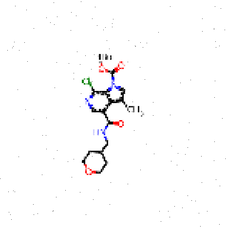 Cc1cn(C(=O)OC(C)(C)C)c2c(Cl)ncc(C(=O)NCC3CCOCC3)c12